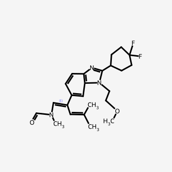 COCCn1c(C2CCC(F)(F)CC2)nc2ccc(/C(C=C(C)C)=C/N(C)C=O)cc21